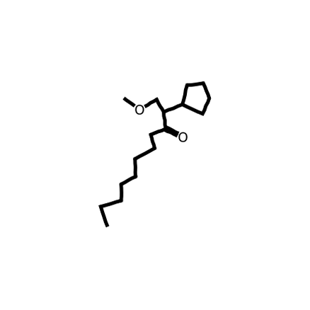 CCCCCCCCC(=O)C(COC)C1CCCC1